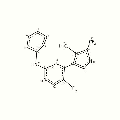 Cn1c(-c2nc(Nc3cc[c]cc3)ncc2F)cnc1C(F)(F)F